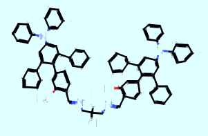 CC(C)(C/N=C/c1ccc(-c2c(-c3ccccc3)cc(N(c3ccccc3)c3ccccc3)cc2-c2ccccc2)cc1O)C/N=C/c1ccc(-c2c(-c3ccccc3)cc(N(c3ccccc3)c3ccccc3)cc2-c2ccccc2)cc1O